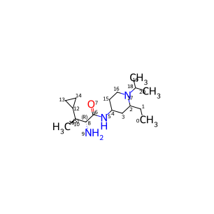 CCC1CC(NC(=O)[C@H](N)[C@@H](C)C2CC2)CCN1C(C)C